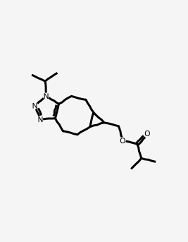 CC(C)C(=O)OCC1C2CCc3nnn(C(C)C)c3CCC21